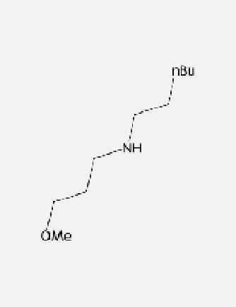 CCCCCCNCCCOC